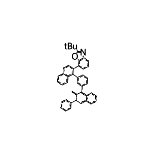 C=C1C(c2cccc(-c3c(-c4cccc5nc(C(C)(C)C)oc45)ccc4ccccc34)c2)=c2ccccc2=CC1c1ccccc1